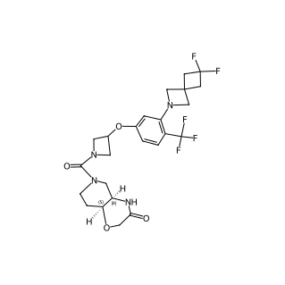 O=C1CO[C@H]2CCN(C(=O)N3CC(Oc4ccc(C(F)(F)F)c(N5CC6(C5)CC(F)(F)C6)c4)C3)C[C@H]2N1